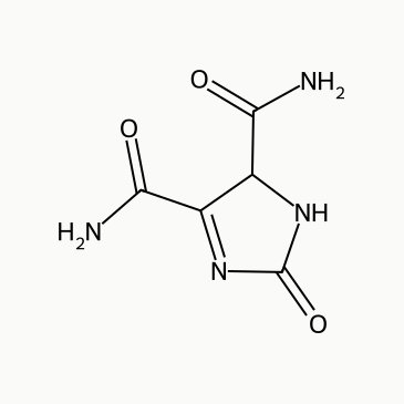 NC(=O)C1=NC(=O)NC1C(N)=O